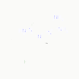 C[C@@H](c1ccc(F)cc1)N(c1cc(C2CC2)[nH]n1)c1nc(N)c(N)cc1Cl